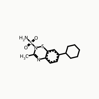 CC1=Nc2ccc(C3CCCCC3)cc2SN1S(N)(=O)=O